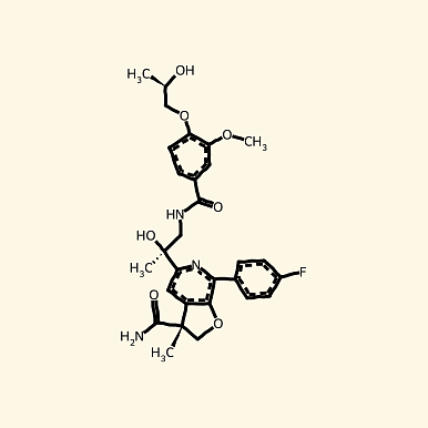 COc1cc(C(=O)NC[C@](C)(O)c2cc3c(c(-c4ccc(F)cc4)n2)OC[C@]3(C)C(N)=O)ccc1OC[C@@H](C)O